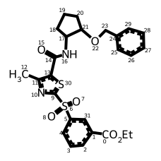 CCOC(=O)c1cccc(S(=O)(=O)c2nc(C)c(C(=O)NC3CCCC3OCc3ccccc3)s2)c1